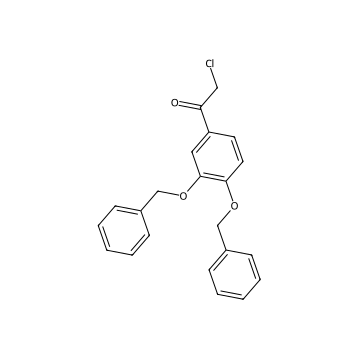 O=C(CCl)c1ccc(OCc2ccccc2)c(OCc2ccccc2)c1